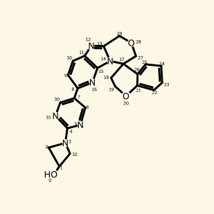 OC1CN(c2ncc(-c3ccc4nc5n(c4n3)C3(CCOc4ccccc43)COC5)cn2)C1